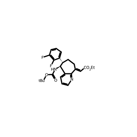 CCOC(=O)/C=C1\CC[C@@H](c2cccc(F)c2F)[C@H](NC(=O)OC(C)(C)C)c2cccnc21